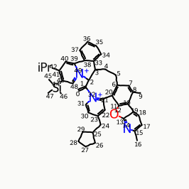 C=C1C2C(CCc3cc(C)c4c(oc5nc(C)ccc54)c3-c3cc(CC4CCCC4)cc[n+]31)c1ccccc1-c1cc(C(C)C)c([Si](C)(C)C)c[n+]12